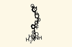 Cn1cc(N2CCC(OC3CN(c4cccc(COC(=O)NC(=N)N)c4F)C3)CC2)ccc1=O